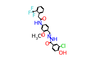 COc1cc(NC(=O)Cc2ccccc2C(F)(F)F)ccc1/C=N/NC(=O)c1ccc(O)c(Cl)c1